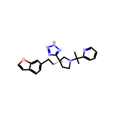 CC(C)(c1ccccn1)N1CC[C@@](CCc2ccc3ccoc3c2)(c2nn[nH]n2)C1